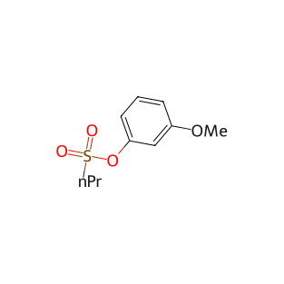 CCCS(=O)(=O)Oc1cccc(OC)c1